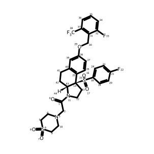 O=C(CN1CCS(=O)(=O)CC1)N1CC[C@@]2(S(=O)(=O)c3ccc(F)cc3)c3ccc(OCc4c(F)cccc4C(F)(F)F)cc3CC[C@@H]12